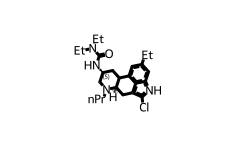 CCCN1C[C@@H](NC(=O)N(CC)CC)CC2c3cc(CC)cc4[nH]c(Cl)c(c34)C[C@H]21